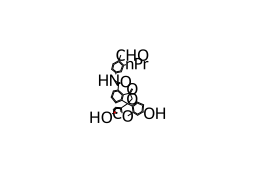 CCCc1cc(NC(=O)c2cccc3c2C(=O)OC32c3ccc(O)cc3Oc3cc(O)ccc32)ccc1C=O